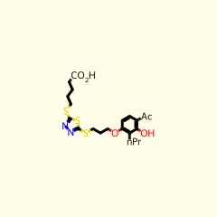 CCCc1c(OCCCSc2nnc(SCCCCC(=O)O)s2)ccc(C(C)=O)c1O